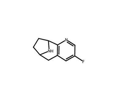 Fc1cnc2c(c1)CC1CCC2N1